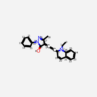 CCN1C(=C=C=C2C(=O)N(c3ccccc3)N=C2C)C=Cc2ccccc21